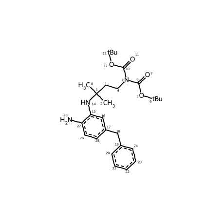 CC(C)(CCN(C(=O)OC(C)(C)C)C(=O)OC(C)(C)C)Nc1cc(Cc2ccccc2)ccc1N